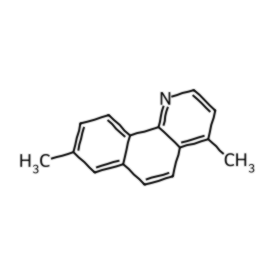 Cc1ccc2c(ccc3c(C)ccnc32)c1